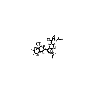 C=CCN(C)C(=O)c1cnc2c(c1)c(-c1cc(Cl)c3ncccc3c1)cn2SI